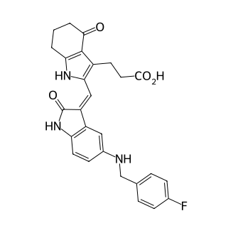 O=C(O)CCc1c(/C=C2\C(=O)Nc3ccc(NCc4ccc(F)cc4)cc32)[nH]c2c1C(=O)CCC2